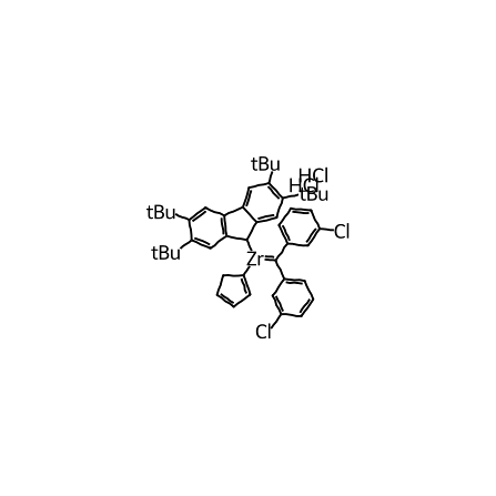 CC(C)(C)c1cc2c(cc1C(C)(C)C)[CH]([Zr]([C]1=CC=CC1)=[C](c1cccc(Cl)c1)c1cccc(Cl)c1)c1cc(C(C)(C)C)c(C(C)(C)C)cc1-2.Cl.Cl